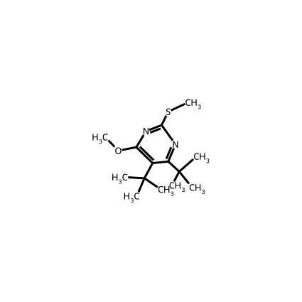 COc1nc(SC)nc(C(C)(C)C)c1C(C)(C)C